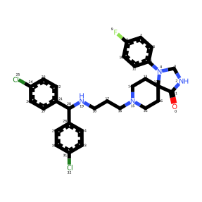 O=C1NCN(c2ccc(F)cc2)C12CCN(CCCNC(c1ccc(Cl)cc1)c1ccc(Cl)cc1)CC2